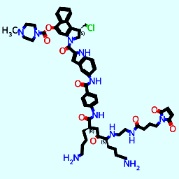 CN1CCN(C(=O)Oc2cc3c(c4ccccc24)[C@H](CCl)CN3C(=O)c2cc3cc(NC(=O)c4ccc(NC(=O)[C@H](CCCCN)CC(=O)[C@H](CCCCN)NCCNC(=O)CCCN5C(=O)C=CC5=O)cc4)ccc3[nH]2)CC1